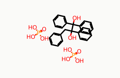 O=P(O)(O)O.O=P(O)(O)O.OC(Cc1ccccc1)(c1ccccc1)C(O)(c1ccccc1)c1ccccc1